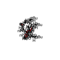 CCC[C@@H]1NC(=O)[C@@H](NC(=O)[C@H](CCC)NC(=O)[C@@H](NC(=O)[C@H](CCNC(=O)OC(C)(C)C)NC(=O)[C@@H](C)CC(=O)N(c2ccc(C)c(S(N)(=O)=O)c2)c2nccc(N(C)c3ccc4c(C)n(C)nc4c3)n2)[C@@H](C)O)CCNC(=O)[C@H]([C@@H](C)O)NC(=O)[C@H](CCNC(=O)OC(C)(C)C)NC(=O)[C@H](CCNC(=O)OC(C)(C)C)NC(=O)[C@H](CC(C)C)NC(=O)[C@@H](Cc2ccccc2)NC1=O